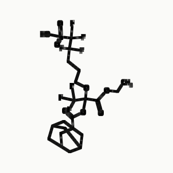 CCOC(=O)C(OCCCC(F)(F)C(F)(F)S(=O)(=O)O)(OC(=O)C12CC3CC(CC(C3)C1)C2)C(F)(F)F